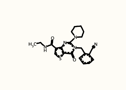 CCNC(=O)c1csc2c(=O)n(Cc3ccccc3C#N)c(N3CCCCC3)nc12